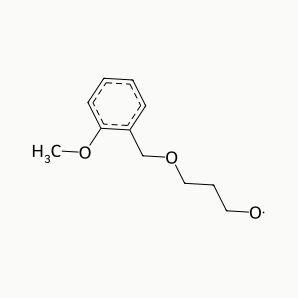 COc1ccccc1COCCC[O]